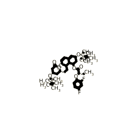 CC[C@H](Oc1ccc(F)cc1F)C(=O)OC1CC(O[Si](C)(C)C(C)(C)C)C=C2C=CC(C)C(CC[C@@H]3C[C@@H](O[Si](C)(C)C(C)(C)C)CC(=O)O3)C21